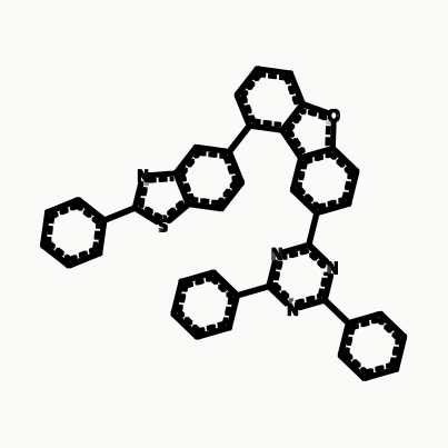 c1ccc(-c2nc(-c3ccccc3)nc(-c3ccc4oc5cccc(-c6ccc7sc(-c8ccccc8)nc7c6)c5c4c3)n2)cc1